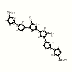 CCCCCCc1ccc(-c2ccc(-c3cc(-c4cc(-c5ccc(-c6ccc(CCCCCC)s6)s5)c(Br)s4)sc3Br)s2)s1